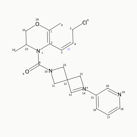 CC1=C(/C=C\CCl)N(C(=O)N2CC3(C=[N+](c4cccnc4)C3)C2)C(C)CO1